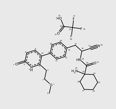 COCCc1[nH]c(=O)ccc1-c1ccc(CC(C#N)NC(=O)C2(N)CCCCC2)cc1.O=C(O)C(F)(F)F